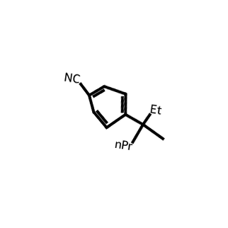 CCCC(C)(CC)c1ccc(C#N)cc1